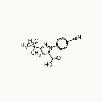 CC(C)(C)c1cc(C(=O)O)n(-c2ccc(C#N)cc2)n1